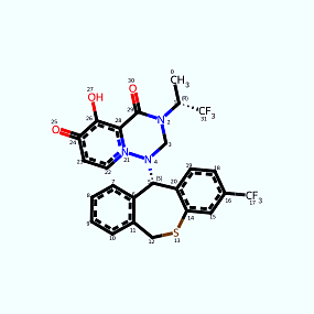 C[C@@H](N1CN([C@H]2c3ccccc3CSc3cc(C(F)(F)F)ccc32)n2ccc(=O)c(O)c2C1=O)C(F)(F)F